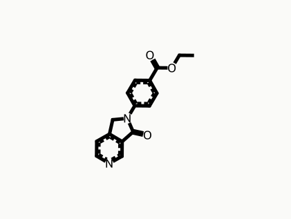 CCOC(=O)c1ccc(N2Cc3ccncc3C2=O)cc1